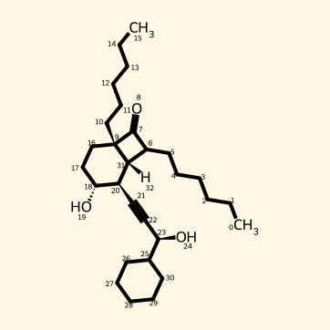 CCCCCCC1C(=O)[C@@]2(CCCCCC)CC[C@@H](O)[C@H](C#C[C@@H](O)C3CCCCC3)[C@@H]12